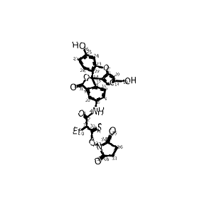 CCC(C(=O)Nc1ccc2c(c1)C(=O)OC21c2ccc(O)cc2Oc2cc(O)ccc21)C(=S)ON1C(=O)CCC1=O